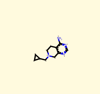 Nc1ncnc2c1CCN(CC1CC1)C2